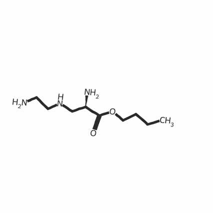 CCCCOC(=O)[C@H](N)CNCCN